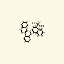 C1=CC2=C(CC1)CCc1c2ccc2ccccc12.O=P(O)(O)c1cccc2ccccc12